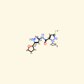 Cn1nc(F)cc1C(=O)Nc1cc(C2CCCO2)[nH]n1